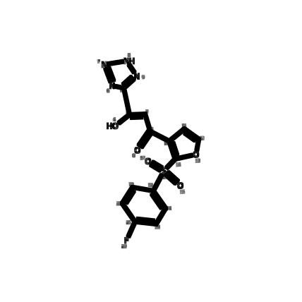 O=C(C=C(O)c1nn[nH]n1)c1ccoc1S(=O)(=O)c1ccc(F)cc1